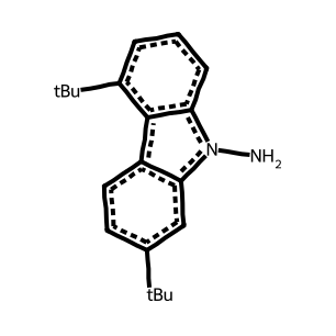 CC(C)(C)c1ccc2c3c(C(C)(C)C)cccc3n(N)c2c1